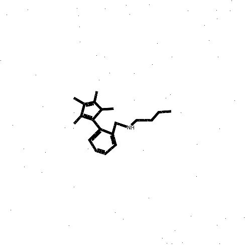 CCCCNCc1ccccc1C1=C(C)C(C)=C(C)C1C